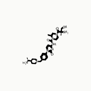 CC1CN(C(=O)[C@@](C)(N)CO)CCN1C(=O)Nc1ccn(-c2ccc(CN3CCC([C@H](C)N)CC3)cc2)c(=O)n1